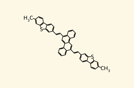 Cc1ccc2c(c1)sc1cc(/C=C/c3cc4c5ccccc5c(/C=C/c5ccc6c(c5)sc5cc(C)ccc56)cc4c4ccccc34)ccc12